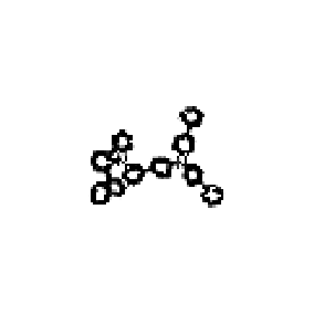 c1ccc(-c2ccc(N(c3ccc(-c4ccccc4)cc3)c3ccc(-c4cccc(-n5c6ccccc6c6cccc(-c7cccc8ccccc78)c65)c4)cc3)cc2)cc1